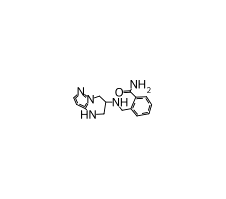 NC(=O)c1ccccc1CNC1CNc2ccnn2C1